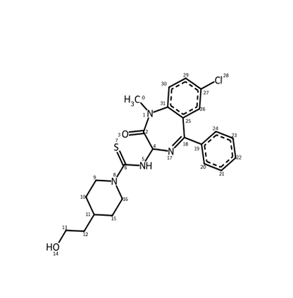 CN1C(=O)C(NC(=S)N2CCC(CCO)CC2)N=C(c2ccccc2)c2cc(Cl)ccc21